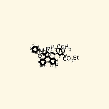 CCOC(=O)C[C@H]1C[C@@H](CCn2c(-c3ccc(F)cc3)c(-c3ccccc3)c(C(=O)Nc3ccccc3)c2C(C)C)OC(C)(C)O1